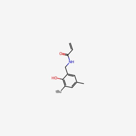 C=CC(=O)NCc1cc(C)cc(C(C)(C)C)c1O